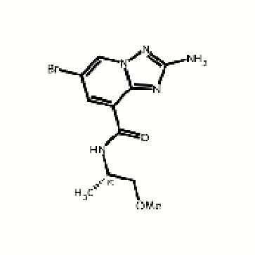 COC[C@H](C)NC(=O)c1cc(Br)cn2nc(N)nc12